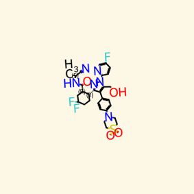 C[C@@H](C#N)NC(=O)[C@@H]1CC(F)(F)CC[C@H]1c1nn(-c2ccc(F)cn2)c(CO)c1-c1ccc(N2CCS(=O)(=O)CC2)cc1